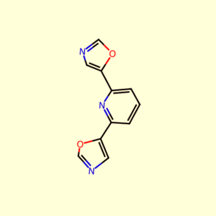 c1cc(-c2cnco2)nc(-c2cnco2)c1